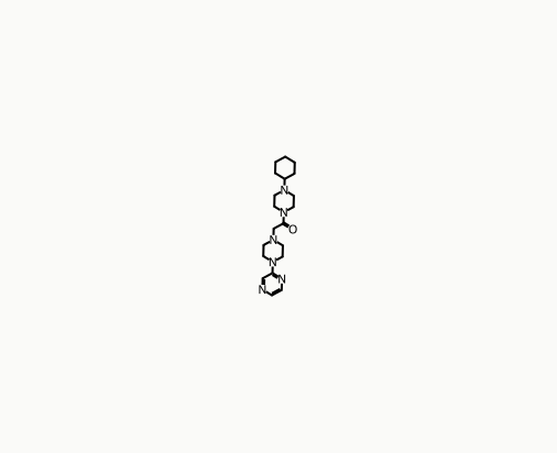 O=C(CN1CCN(c2cnccn2)CC1)N1CCN(C2CCCCC2)CC1